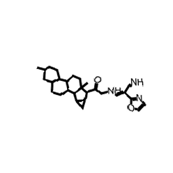 CC1CCC2C(CCC3C2CCC2(C)C(C(=O)CN/C=C(\C=N)c4ncco4)C4CC4C32)C1